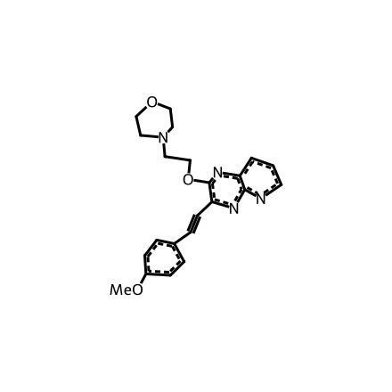 COc1ccc(C#Cc2nc3ncccc3nc2OCCN2CCOCC2)cc1